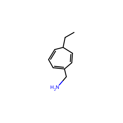 CCC1C=CC=C(CN)C=C1